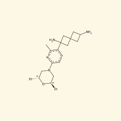 CC[C@@H]1CN(c2ccc(C3(N)CC4(CC(N)C4)C3)c(C)n2)C[C@@H](CC)O1